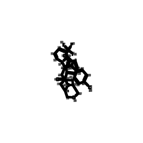 O=C(c1cccc(OC(F)(F)F)c1)N1C2COCC1CN(Cc1c(-c3ccc(Cl)cc3)nc3ccccn13)C2